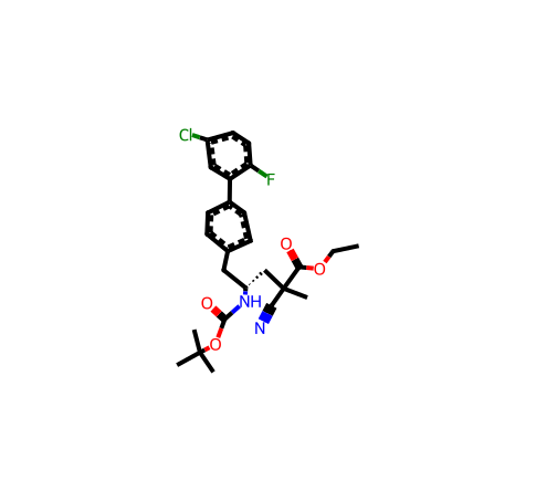 CCOC(=O)C(C)(C#N)C[C@@H](Cc1ccc(-c2cc(Cl)ccc2F)cc1)NC(=O)OC(C)(C)C